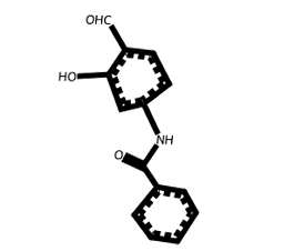 O=Cc1ccc(NC(=O)c2ccccc2)cc1O